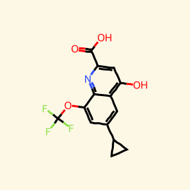 O=C(O)c1cc(O)c2cc(C3CC3)cc(OC(F)(F)F)c2n1